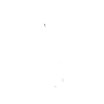 CCC[C@H]1CC[C@H](CCc2ccc(-c3ccc(F)c(F)c3)c(F)c2)CC1